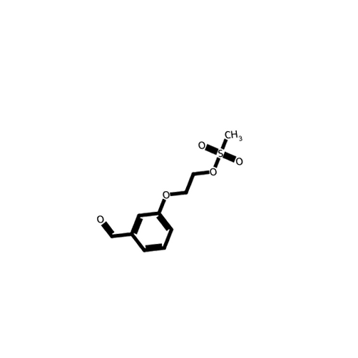 CS(=O)(=O)OCCOc1cccc(C=O)c1